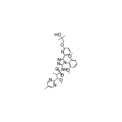 COc1cccc(OC)c1-n1c(NS(=O)(=O)C(C)C(OC)c2ncc(C)cn2)nnc1-c1cccc(OCC(C)(C)O)n1